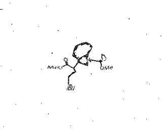 CCC(C)CCC(C(=O)OC)c1cn(C(=O)OC)c2ccccc12